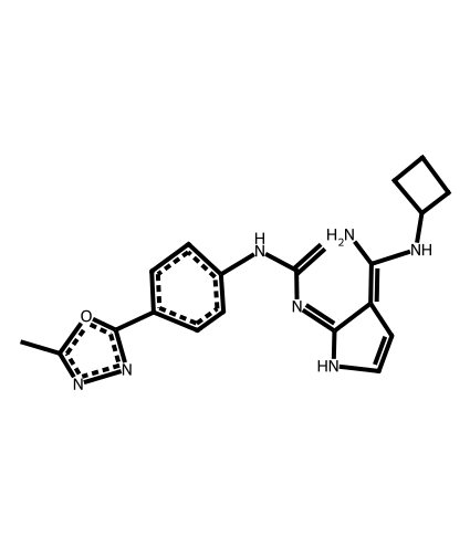 C=C(/N=C1/NC=C/C1=C(/N)NC1CCC1)Nc1ccc(-c2nnc(C)o2)cc1